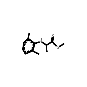 COC(=O)[C@@H](C)Nc1c(C)cccc1C